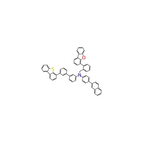 c1cc(-c2cccc(N(Cc3ccccc3-c3cccc4c3oc3ccccc34)c3ccc(-c4ccc5ccccc5c4)cc3)c2)cc(-c2cccc3c2sc2ccccc23)c1